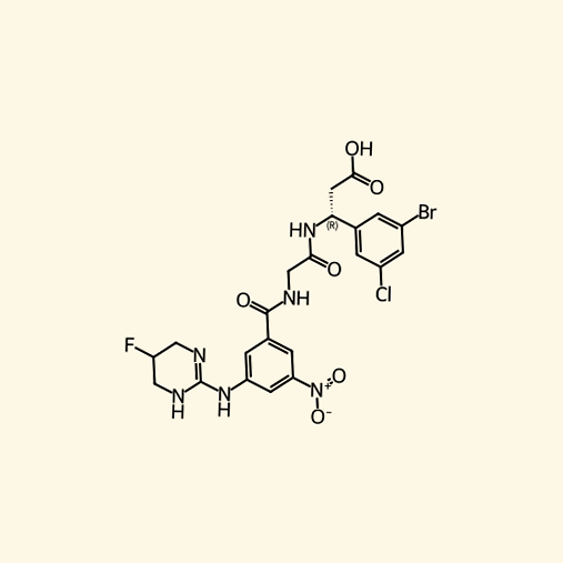 O=C(O)C[C@@H](NC(=O)CNC(=O)c1cc(NC2=NCC(F)CN2)cc([N+](=O)[O-])c1)c1cc(Cl)cc(Br)c1